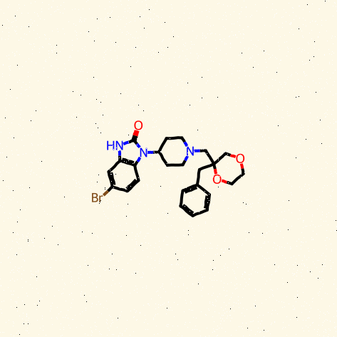 O=c1[nH]c2cc(Br)ccc2n1C1CCN(CC2(Cc3ccccc3)COCCO2)CC1